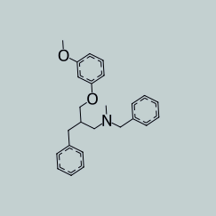 COc1cccc(OCC(Cc2ccccc2)CN(C)Cc2ccccc2)c1